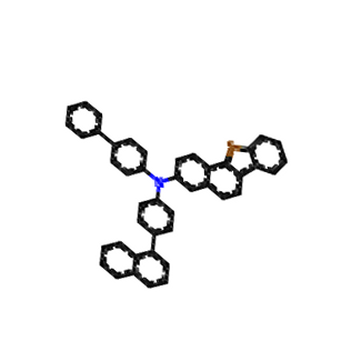 c1ccc(-c2ccc(N(c3ccc(-c4cccc5ccccc45)cc3)c3ccc4c(ccc5c6ccccc6sc45)c3)cc2)cc1